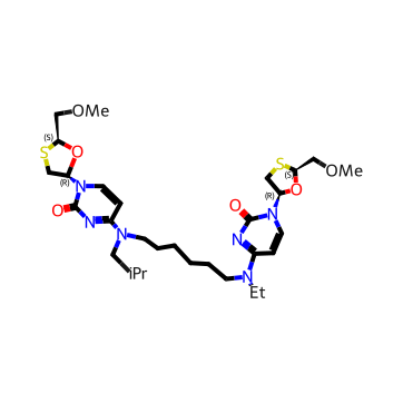 CCN(CCCCCCN(CC(C)C)c1ccn([C@H]2CS[C@@H](COC)O2)c(=O)n1)c1ccn([C@H]2CS[C@@H](COC)O2)c(=O)n1